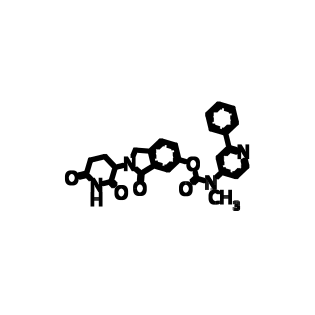 CN(C(=O)Oc1ccc2c(c1)C(=O)N(C1CCC(=O)NC1=O)C2)c1ccnc(-c2ccccc2)c1